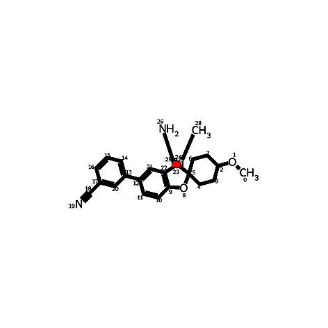 COC1CCC2(CC1)Oc1ccc(-c3cccc(C#N)c3)cc1C21N=C(N)N(C)O1